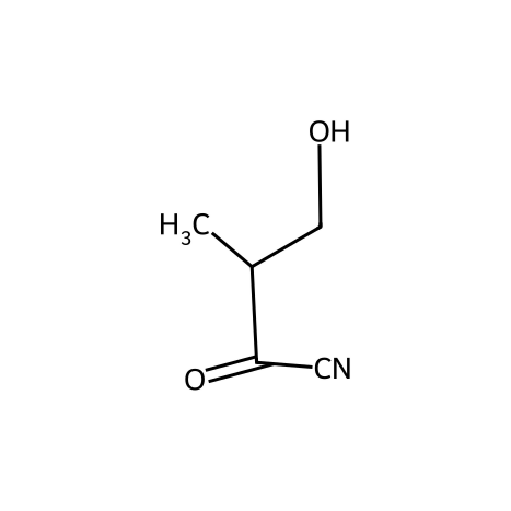 CC(CO)C(=O)C#N